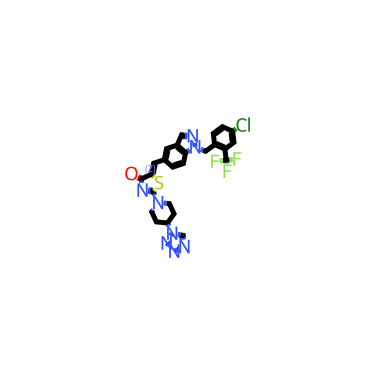 O=C1N=C(N2CCC(n3cnnn3)CC2)S/C1=C\c1ccc2c(cnn2Cc2ccc(Cl)cc2C(F)(F)F)c1